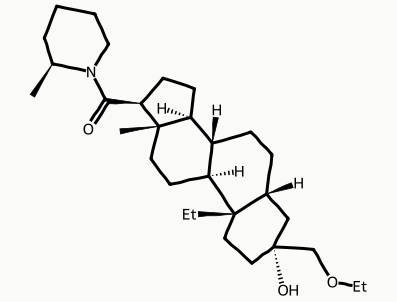 CCOC[C@@]1(O)CC[C@@]2(CC)[C@H](CC[C@H]3[C@@H]4CC[C@H](C(=O)N5CCCC[C@@H]5C)[C@@]4(C)CC[C@@H]32)C1